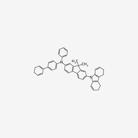 CC1(C)c2cc(N(c3ccccc3)c3ccc(C4=CCCC=C4)cc3)ccc2-c2ccc(-n3c4c(c5c3C=CCC5)CCC=C4)cc21